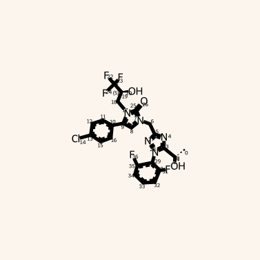 C[C@H](O)c1nc(Cn2cc(-c3ccc(Cl)cc3)n(C[C@H](O)C(F)(F)F)c2=O)nn1-c1c(F)cccc1F